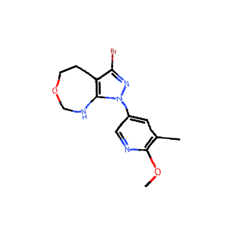 COc1ncc(-n2nc(Br)c3c2NCOCC3)cc1C